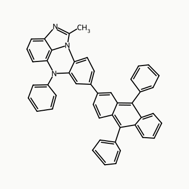 Cc1nc2cccc3c2n1-c1ccc(-c2ccc4c(-c5ccccc5)c5ccccc5c(-c5ccccc5)c4c2)cc1N3c1ccccc1